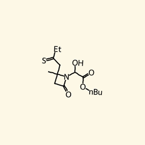 CCCCOC(=O)C(O)N1C(=O)CC1(C)CC(=S)CC